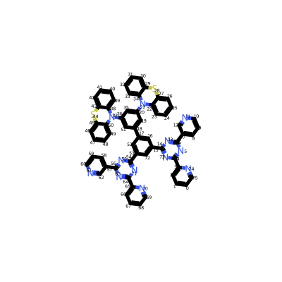 c1ccc(-c2nc(-c3cccnc3)nc(-c3cc(-c4cc(N5c6ccccc6Sc6ccccc65)cc(N5c6ccccc6Sc6ccccc65)c4)cc(-c4nc(-c5cccnc5)nc(-c5ccccn5)n4)c3)n2)nc1